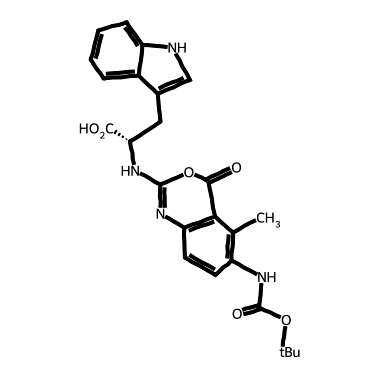 Cc1c(NC(=O)OC(C)(C)C)ccc2nc(N[C@@H](Cc3c[nH]c4ccccc34)C(=O)O)oc(=O)c12